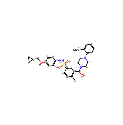 COc1ccccc1N1CCN(C(O)c2cc(S(=O)(=O)Nc3ccc(OCC4CC4)cc3)ccc2C)CC1